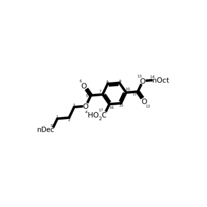 CCCCCCCCCCCCCOC(=O)c1ccc(C(=O)OCCCCCCCC)cc1C(=O)O